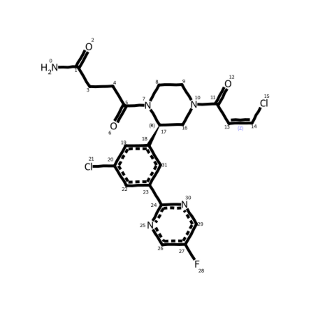 NC(=O)CCC(=O)N1CCN(C(=O)/C=C\Cl)C[C@H]1c1cc(Cl)cc(-c2ncc(F)cn2)c1